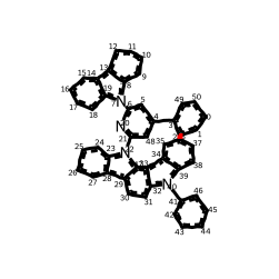 c1ccc(-c2cc(-n3c4ccccc4c4ccccc43)nc(-n3c4ccccc4c4ccc5c(c6ccccc6n5-c5ccccc5)c43)c2)cc1